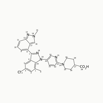 Cc1cc(Cl)cc2c(-c3cccc4nn(C)cc34)nn(-c3ccc(N4CCC(C(=O)O)CC4)nc3)c12